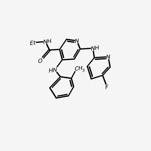 CCNC(=O)c1cnc(Nc2ccc(F)cn2)cc1Nc1ccccc1C